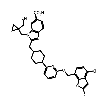 N#CCC1(Cn2c(CC3CCC(c4cccc(OCc5ccc(Cl)c6cc(F)oc56)n4)CC3)nc3ccc(C(=O)O)cc32)CC1